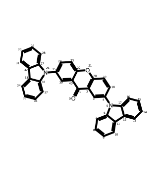 O=c1c2cc(-n3c4ccccc4c4ccccc43)ccc2oc2ccc(-n3c4ccccc4c4ccccc43)cc12